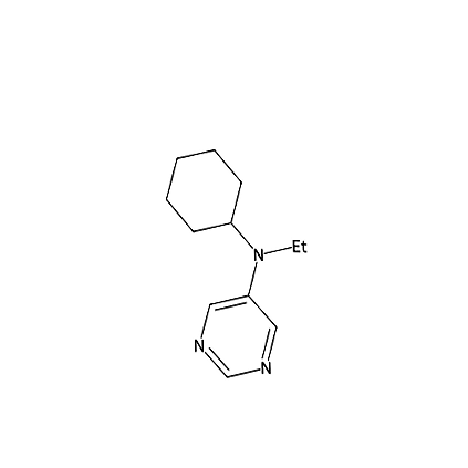 CCN(c1cncnc1)C1CCCCC1